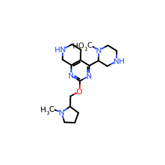 CN1CCCC1COc1nc2c(c(C3CNCCN3C(=O)O)n1)CCNC2